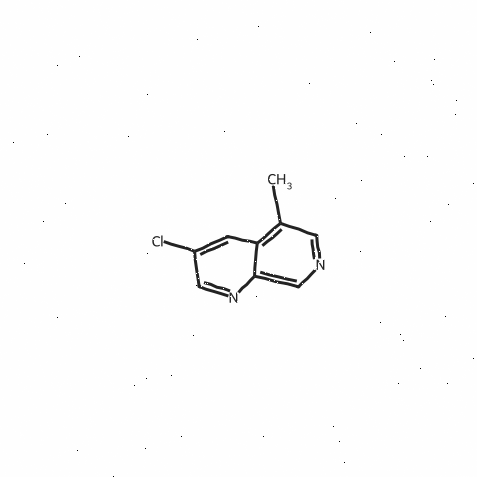 Cc1cncc2ncc(Cl)cc12